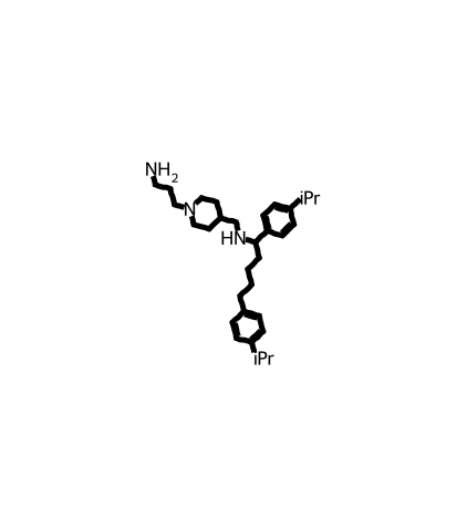 CC(C)c1ccc(CCCCC(NCC2CCN(CCCN)CC2)c2ccc(C(C)C)cc2)cc1